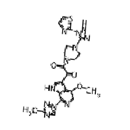 COc1cnc(-n2cnc(C)n2)c2[nH]cc(C(=O)C(=O)N3CCN(c4n[nH]n4-c4nccs4)CC3)c12